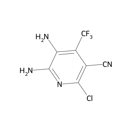 N#Cc1c(Cl)nc(N)c(N)c1C(F)(F)F